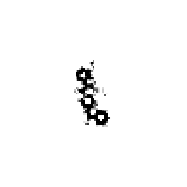 COc1cccc2c(C(=O)N3CCC4(CC3)CC(=O)c3ccccc3O4)c(N)sc12